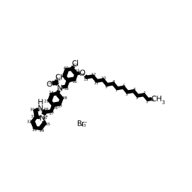 CCCCCCCCCCCCCCOc1cc(CN(C(C)=O)c2ccc(Cc3[nH]cc4cccc[n+]34)cc2)ccc1Cl.[Br-]